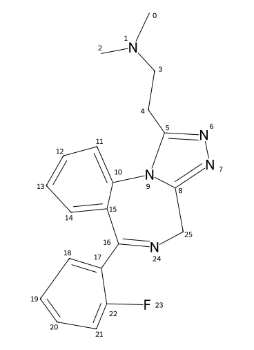 CN(C)CCc1nnc2n1-c1ccccc1C(c1ccccc1F)=NC2